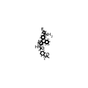 CC(=O)N(C)[C@H]1CC[C@H](CC(=O)Nc2cc(-c3ccccc3)c(-c3ccc([C@]4(N)C[C@H](F)C4)cc3)nn2)CC1